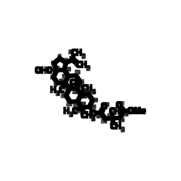 C=C(C)C1CC[C@]2(C=O)CC[C@]3(C)C(CCC4[C@@]5(C)CC[C@H](OC(=O)CC(C)(C)CC(=O)OC)C(C)(C)C5CC[C@]43C)C12